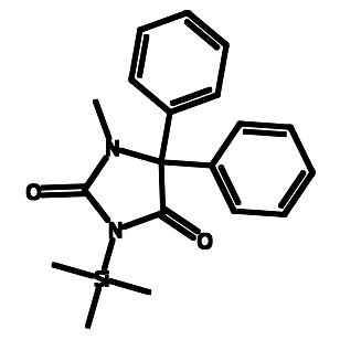 CN1C(=O)N([Si](C)(C)C)C(=O)C1(c1ccccc1)c1ccccc1